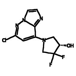 O[C@H]1CN(c2cc(Cl)nn3ccnc23)CC1(F)F